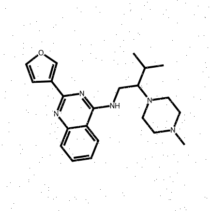 CC(C)C(CNc1nc(-c2ccoc2)nc2ccccc12)N1CCN(C)CC1